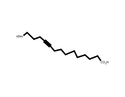 CCCCCCCCCCCCCC#CCCCCCCCCC(=O)O